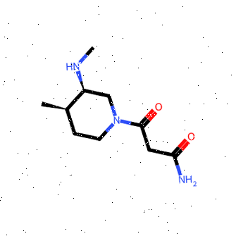 CN[C@H]1CN(C(=O)CC(N)=O)CC[C@H]1C